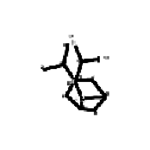 CC(C)N1CC2CC(C1)N2CC(F)F